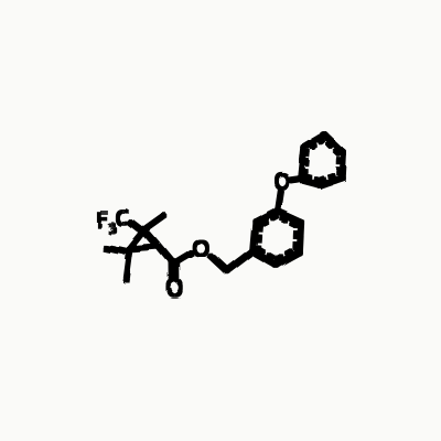 CC1(C)C(C(=O)OCc2cccc(Oc3ccccc3)c2)C1(C)C(F)(F)F